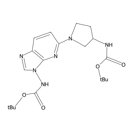 CC(C)(C)OC(=O)NC1CCN(c2ccc3ncn(NC(=O)OC(C)(C)C)c3n2)C1